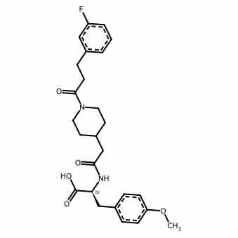 COc1ccc(C[C@H](NC(=O)CC2CCN(C(=O)CCc3cccc(F)c3)CC2)C(=O)O)cc1